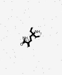 C=C(CCC(N)(CC)CC)C(N)=O